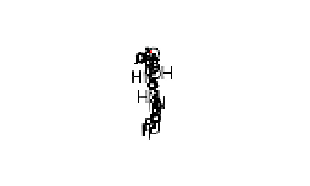 Cc1ccc(C(C)C)c(N2C(=O)CS/C2=N\C(O)Nc2ccc(CNc3ncn(-c4ccc(OC(F)(F)F)cc4)n3)cc2)c1